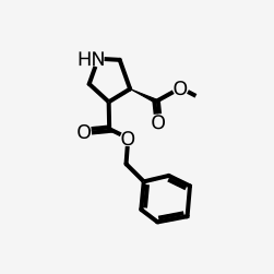 COC(=O)[C@@H]1CNCC1C(=O)OCc1ccccc1